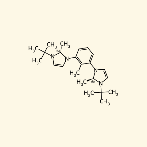 Cc1c(N2C=CN(C(C)(C)C)[C@@H]2C)cccc1N1C=CN(C(C)(C)C)[C@H]1C